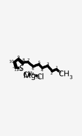 CCCCCCCCc1cc[c]s1.[Cl][Mg][Cl]